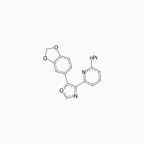 CCCc1cccc(-c2ncoc2-c2ccc3c(c2)OCO3)n1